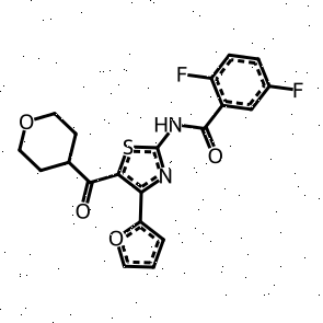 O=C(Nc1nc(-c2ccco2)c(C(=O)C2CCOCC2)s1)c1cc(F)ccc1F